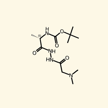 C[C@H](NC(=O)OC(C)(C)C)C(=O)NNC(=O)CN(C)C